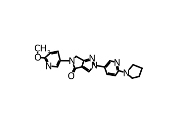 COc1ccc(N2Cc3nn(-c4ccc(N5CCCC5)nc4)cc3C2=O)cn1